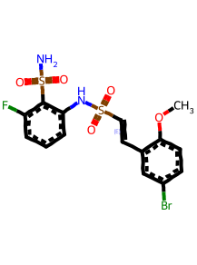 COc1ccc(Br)cc1/C=C/S(=O)(=O)Nc1cccc(F)c1S(N)(=O)=O